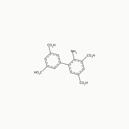 Nc1c(C(=O)O)cc(C(=O)O)cc1-c1cc(C(=O)O)cc(C(=O)O)c1